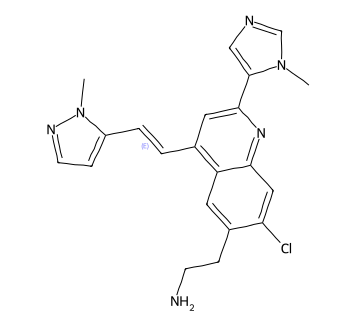 Cn1cncc1-c1cc(/C=C/c2ccnn2C)c2cc(CCN)c(Cl)cc2n1